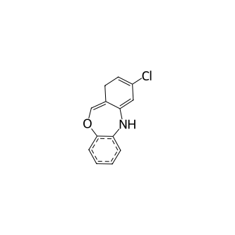 ClC1=CCC2=COc3ccccc3NC2=C1